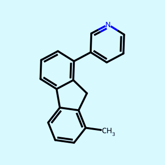 Cc1cccc2c1Cc1c(-c3cccnc3)cccc1-2